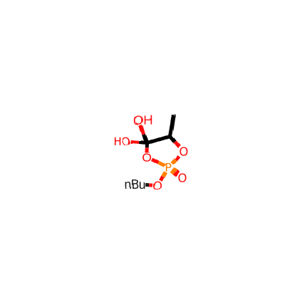 CCCCOP1(=O)OC(C)C(O)(O)O1